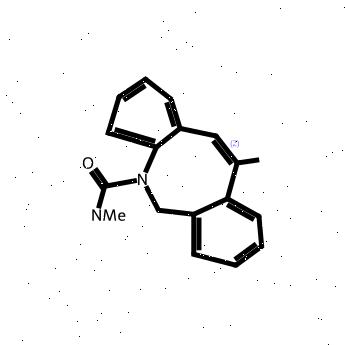 CNC(=O)N1Cc2ccccc2/C(C)=C\c2ccccc21